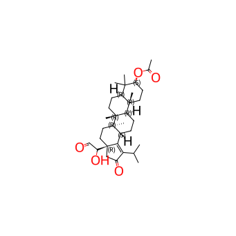 CC(=O)O[C@H]1CC[C@]2(C)[C@H]3CC[C@@H]4C5=C(C(C)C)C(=O)C[C@]5(C(O)C=O)CC[C@@]4(C)[C@]3(C)CC[C@H]2C1(C)C